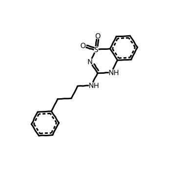 O=S1(=O)N=C(NCCCc2ccccc2)Nc2ccccc21